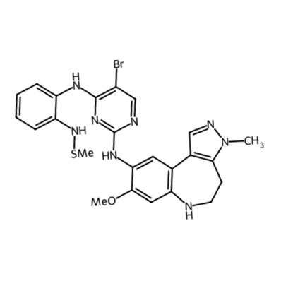 COc1cc2c(cc1Nc1ncc(Br)c(Nc3ccccc3NSC)n1)-c1cnn(C)c1CCN2